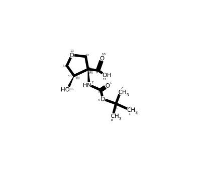 CC(C)(C)OC(=O)N[C@]1(C(=O)O)COC[C@@H]1O